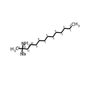 CCCCCCCCCCCC[C](C)(N)[Na]